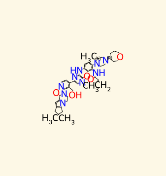 C=CC(=O)Nc1cc(Nc2nc(-c3ccnc(N4CCn5c(cc6c5CC(C)(C)C6)C4=O)c3CO)cn(C)c2=O)ccc1N1CCN([C@@H]2CCCOCC2)C[C@@H]1C